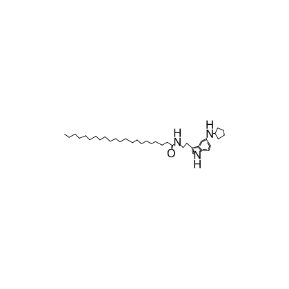 CCCCCCCCCCCCCCCCCCCCCC(=O)NCCc1c[nH]c2ccc(NC3CCCC3)cc12